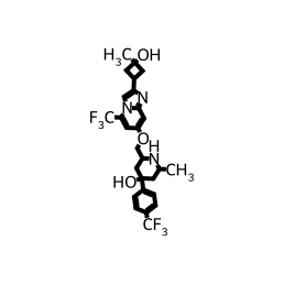 CC1CC(O)(c2ccc(C(F)(F)F)cc2)CC(COc2cc(C(F)(F)F)n3cc(C4CC(C)(O)C4)nc3c2)N1